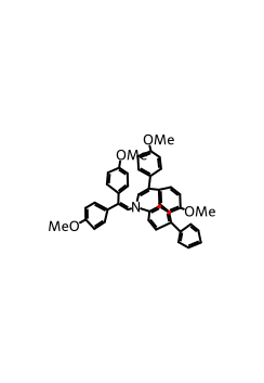 COc1ccc(C(=CN(C=C(c2ccc(OC)cc2)c2ccc(OC)cc2)c2ccc(-c3ccccc3)cc2)c2ccc(OC)cc2)cc1